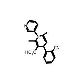 CC1=CC(c2ccccc2C#N)C(C(=O)O)=C(C)N1c1cccnc1